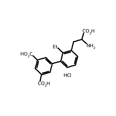 CCc1c(CC(N)C(=O)O)cccc1-c1cc(C(=O)O)cc(C(=O)O)c1.Cl